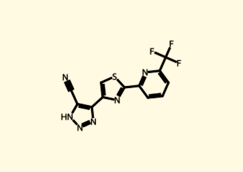 N#Cc1[nH]nnc1-c1csc(-c2cccc(C(F)(F)F)n2)n1